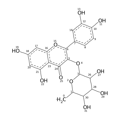 [CH2]C1OC(Oc2c(-c3ccc(O)c(O)c3)oc3cc(O)cc(O)c3c2=O)C(O)C(O)C1O